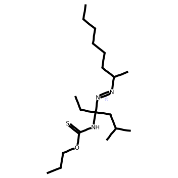 CCCCCCC(C)/N=N/C(CC)(CC(C)C)NC(=S)OCCC